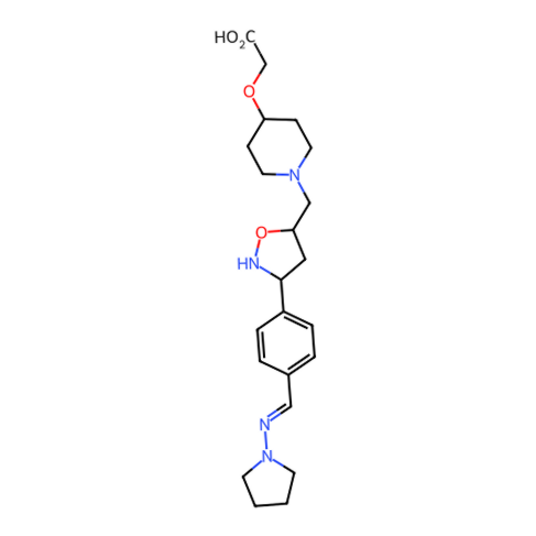 O=C(O)COC1CCN(CC2CC(c3ccc(C=NN4CCCC4)cc3)NO2)CC1